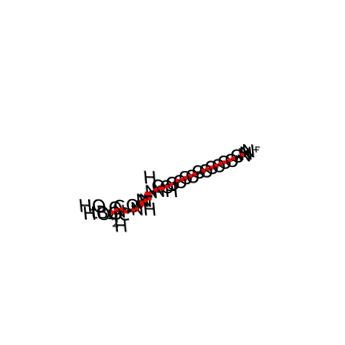 CC(C)(C)OC(=O)N[C@@H](C[C@H](CCCC(=O)Nc1ccc(N=Nc2ccc(NCCNC(=O)CCOCCOCCOCCOCCOCCOCCOCCOCCOCCOCCOCCOCCN=[N+]=[N-])cc2)cc1)C(=O)O)C(=O)O